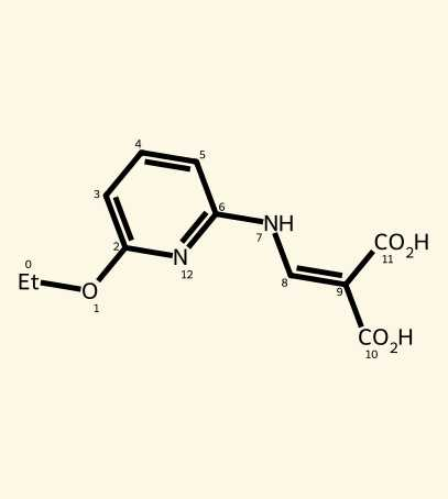 CCOc1cccc(NC=C(C(=O)O)C(=O)O)n1